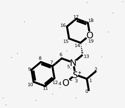 CC(C)[S+]([O-])N(Cc1ccccc1)C[C@@H]1CCC=CO1